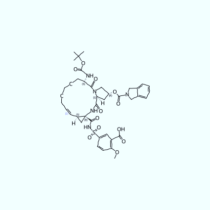 COc1ccc(S(=O)(=O)NC(=O)[C@@]23C[C@H]2/C=C\CCCCC[C@H](NC(=O)OC(C)(C)C)C(=O)N2C[C@H](OC(=O)N4Cc5ccccc5C4)C[C@H]2C(=O)N3)cc1C(=O)O